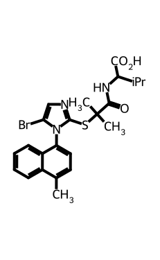 Cc1ccc(-n2c(Br)cnc2SC(C)(C)C(=O)NC(C(=O)O)C(C)C)c2ccccc12